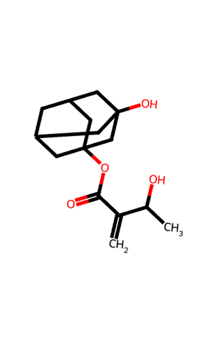 C=C(C(=O)OC12CC3CC(CC(O)(C3)C1)C2)C(C)O